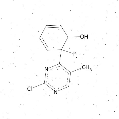 Cc1cnc(Cl)nc1C1(F)C=CC=CC1O